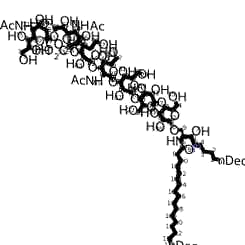 CCCCCCCCCCCCC/C=C/[C@@H](O)[C@H](CO[C@@H]1OC(CO)[C@@H](O[C@@H]2OC(CO)[C@H](O[C@@H]3OC(CO)[C@H](O)[C@H](O[C@@H]4OC(CO)[C@H](O)[C@H](O[C@@H]5OC(CO)[C@H](O)[C@H](O[C@]6(C(=O)O)CC(O)[C@@H](NC(C)=O)C([C@H](O)[C@@H](CO)O[C@]7(C(=O)O)CC(O)[C@@H](NC(C)=O)C([C@H](O)[C@H](O)CO)O7)O6)C5O)C4NC(C)=O)C3O)[C@H](O)C2O)[C@H](O)C1O)NC(=O)CCCCCCCCCCCCCCCCCCCCCCCCC